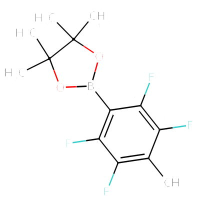 Cc1c(F)c(F)c(B2OC(C)(C)C(C)(C)O2)c(F)c1F